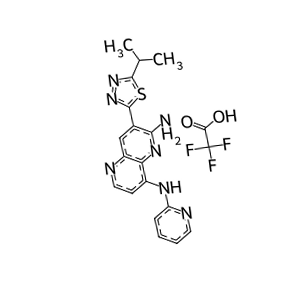 CC(C)c1nnc(-c2cc3nccc(Nc4ccccn4)c3nc2N)s1.O=C(O)C(F)(F)F